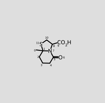 CC12CCCC(=O)N1C(C(=O)O)CS2